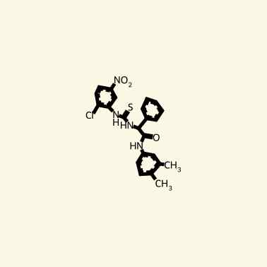 Cc1ccc(NC(=O)C(NC(=S)Nc2cc([N+](=O)[O-])ccc2Cl)c2ccccc2)cc1C